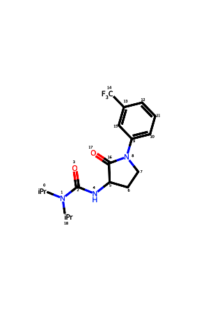 CC(C)N(C(=O)NC1CCN(c2cccc(C(F)(F)F)c2)C1=O)C(C)C